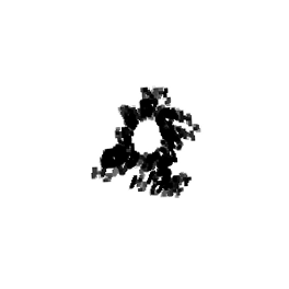 CCCN(CCC)C(=O)C[C@H](N)C(=O)N[C@H]1CCNC(=O)[C@H]([C@@H](C)O)NC(=O)[C@H](CCN)NC(=O)[C@H](CCN)NC(=O)[C@H](CC(C)C)NC(=O)[C@@H](Cc2ccccc2)NC(=O)[C@H](CCN)NC1=O